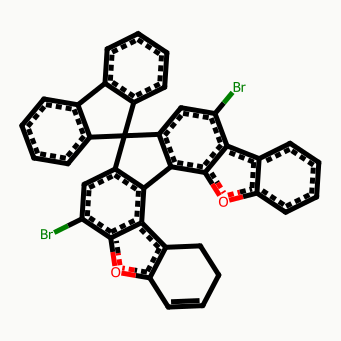 Brc1cc2c(c3c4c(oc13)C=CCC4)-c1c(cc(Br)c3c1oc1ccccc13)C21c2ccccc2-c2ccccc21